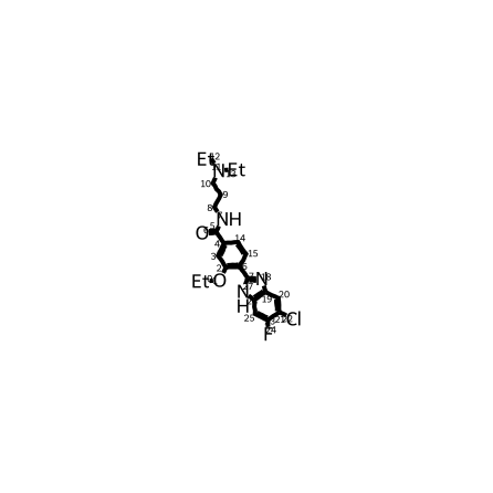 CCOc1cc(C(=O)NCCCN(CC)CC)ccc1-c1nc2cc(Cl)c(F)cc2[nH]1